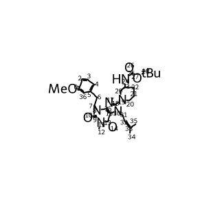 COc1cccc(CCn2c(=O)n(C)c(=O)c3c2nc(N2CCCC(NC(=O)OC(C)(C)C)C2)n3CC=C(C)C)c1